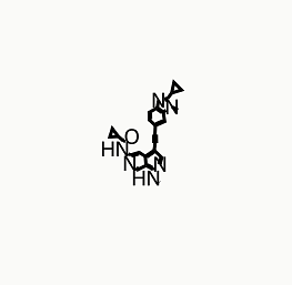 CNc1ncc(C#Cc2ccc3nc(C4CC4)n(C)c3c2)c2cc(NC(=O)C3CC3)ncc12